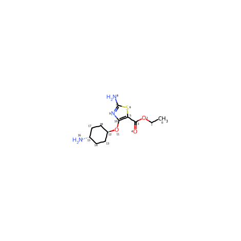 CCOC(=O)c1sc(N)nc1O[C@H]1CC[C@H](N)CC1